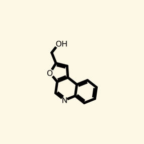 OCc1cc2c(cnc3ccccc32)o1